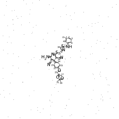 Cc1cccc(Nc2nc(CSc3nc(N)c(C#N)c(-c4ccc(OCC5COC(C)(C)O5)cc4)c3C#N)cs2)c1